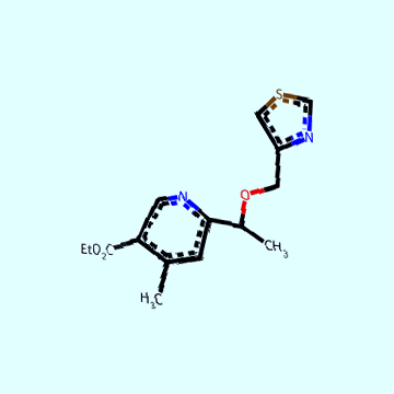 CCOC(=O)c1cnc(C(C)OCc2cscn2)cc1C